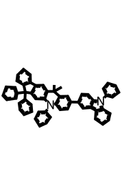 CC1(C)c2cc(-c3ccc4c(c3)c3ccccc3n4-c3ccccc3)ccc2N(c2ccccc2)c2cc3c(cc21)-c1ccccc1C3(c1ccccc1)c1ccccc1